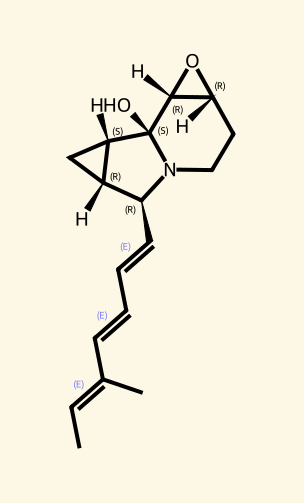 C/C=C(C)/C=C/C=C/[C@H]1[C@@H]2C[C@@H]2[C@]2(O)[C@@H]3O[C@@H]3CCN12